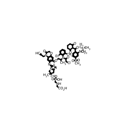 C#CCN1C(=O)COc2cc(F)c(/N=c3\snc4n3CC(C)(C)C4)cc21.CCc1cccc(C)c1N(C(=O)CCl)C(C)COC.CS(=O)(=O)c1ccc(C(=O)C2C(=O)CCCC2=O)c([N+](=O)[O-])c1.C[S+](C)C.O=C(O)CNCP(=O)([O-])O